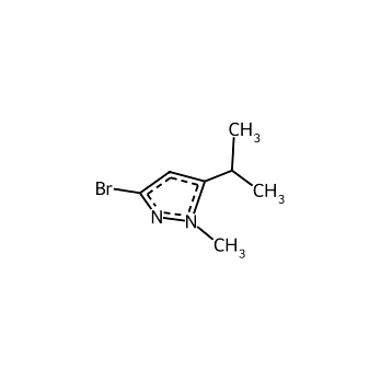 CC(C)c1cc(Br)nn1C